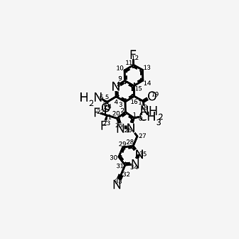 Cc1c(-c2c(C(N)=O)nc3cc(F)ccc3c2C(N)=O)c(C(F)(F)F)nn1Cc1ccc(C#N)nn1